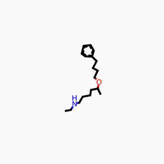 CCNCCCCC(C)OCCCCc1ccccc1